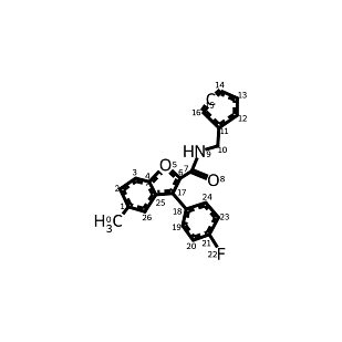 Cc1ccc2oc(C(=O)NCc3ccccc3)c(-c3ccc(F)cc3)c2c1